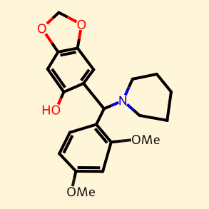 COc1ccc(C(c2cc3c(cc2O)OCO3)N2CCCCC2)c(OC)c1